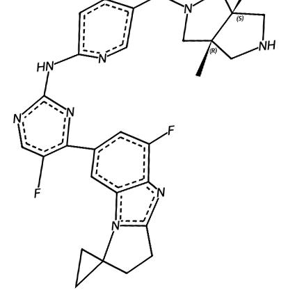 C[C@@]12CNC[C@]1(C)CN(Cc1ccc(Nc3ncc(F)c(-c4cc(F)c5nc6n(c5c4)C4(CC6)CC4)n3)nc1)C2